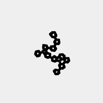 c1ccc(-c2cccc(-c3cccc(-c4cccc5c4c4cc(-c6ccc7c(c6)c6ccccc6n7-c6cc(-c7ccccc7)ccc6-c6ccccc6)ccc4n5-c4ccccc4)c3)c2)cc1